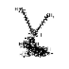 CCCCCCCCCCCCC/C=C/[C@@H](O)[C@H](CO[C@@H]1OC(CO)[C@@H](O[C@@H]2OC(CO)[C@H](O)[C@H](O[C@@H]3OC(CO)[C@@H](O[C@@H]4OC(CO)[C@H](O)[C@H](O[C@]5(C(=O)O)CC(O)[C@@H](O)C([C@H](O)[C@H](O)CO)O5)C4O)[C@H](O)C3NC(C)=O)C2O)[C@H](O)C1O)NC(=O)CCCCCCCCCCCCCCCCC